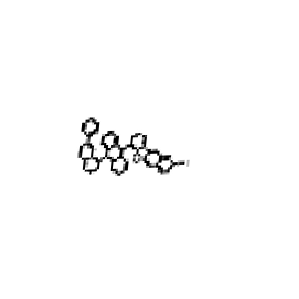 CCc1ccc2cc3oc4c(-c5c6ccccc6c(-c6cccc7ccc(-c8ccccc8)cc67)c6ccccc56)cccc4c3cc2c1